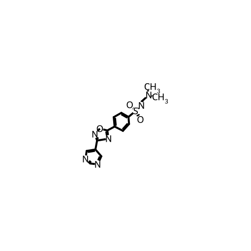 CN(C)C=NS(=O)(=O)c1ccc(-c2nc(-c3cncnc3)no2)cc1